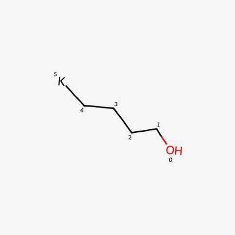 OCCC[CH2][K]